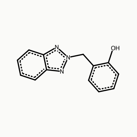 Oc1ccccc1Cn1nc2ccccc2n1